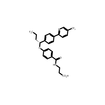 O=C(O)CCNC(=O)c1ccc(O[C@H](CCC(F)(F)F)c2ccc(-c3ccc(C(F)(F)F)cn3)cc2)cc1